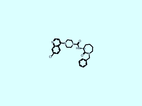 O=C(N[C@H]1CCCCN(Cc2ccccc2)C1=O)N1CCN(c2ccnc3cc(Cl)ccc23)CC1